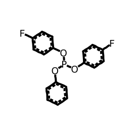 Fc1ccc(OP(Oc2ccccc2)Oc2ccc(F)cc2)cc1